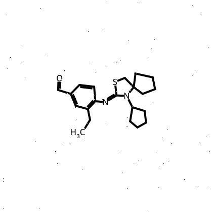 CCc1cc(C=O)ccc1N=C1SCC2(CCCC2)N1C1CCCC1